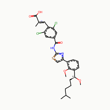 COc1c(-c2csc(NC(=O)c3cc(Cl)c(/C=C(\C)C(=O)O)c(Cl)c3)n2)cccc1[C@H](CCCC(C)C)OC